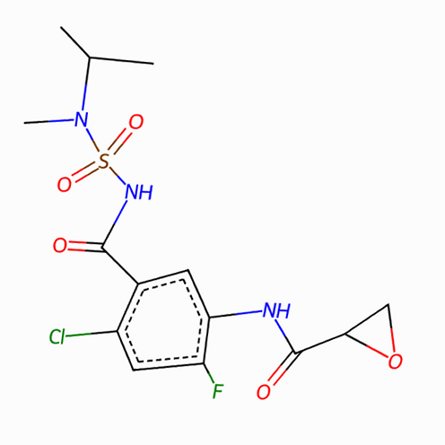 CC(C)N(C)S(=O)(=O)NC(=O)c1cc(NC(=O)C2CO2)c(F)cc1Cl